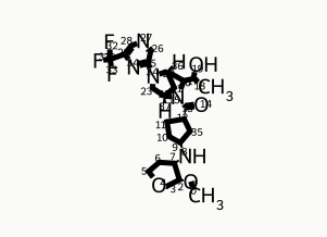 CO[C@@H]1COCC[C@@H]1N[C@@H]1CC[C@H](C(=O)N2C(C(C)O)[C@@H]3C[C@H]2CN3c2cncc(C(F)(F)F)n2)C1